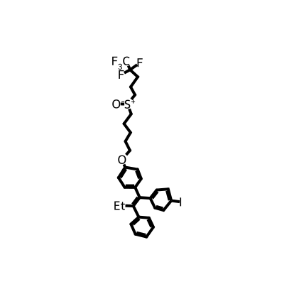 CC/C(=C(/c1ccc(I)cc1)c1ccc(OCCCCC[S+]([O-])CCCC(F)(F)C(F)(F)F)cc1)c1ccccc1